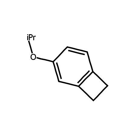 CC(C)Oc1ccc2c(c1)CC2